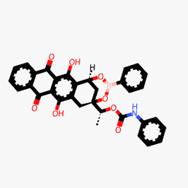 C[C@@H](OC(=O)Nc1ccccc1)[C@]12Cc3c(O)c4c(c(O)c3[C@H](C1)OB(c1ccccc1)O2)C(=O)c1ccccc1C4=O